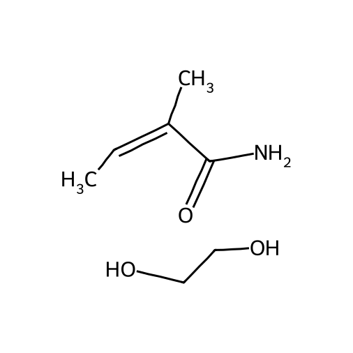 CC=C(C)C(N)=O.OCCO